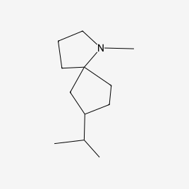 CC(C)C1CCC2(CCCN2C)C1